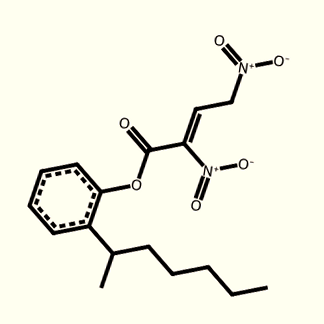 CCCCCC(C)c1ccccc1OC(=O)/C(=C/C[N+](=O)[O-])[N+](=O)[O-]